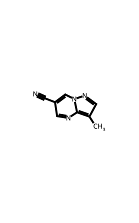 Cc1cnn2cc(C#N)cnc12